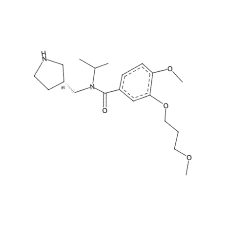 COCCCOc1cc(C(=O)N(C[C@@H]2CCNC2)C(C)C)ccc1OC